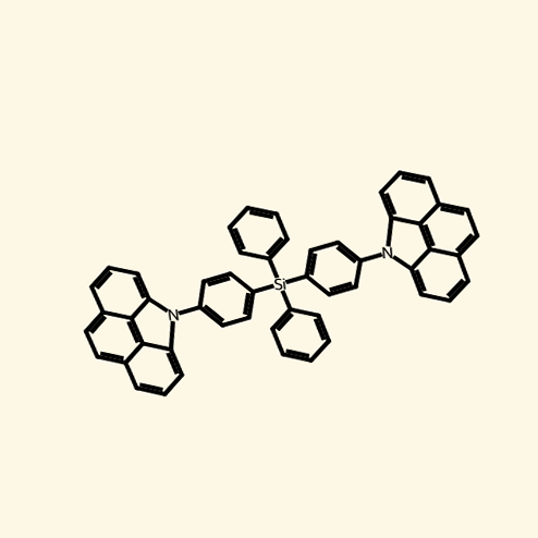 c1ccc([Si](c2ccccc2)(c2ccc(-n3c4cccc5ccc6cccc3c6c54)cc2)c2ccc(-n3c4cccc5ccc6cccc3c6c54)cc2)cc1